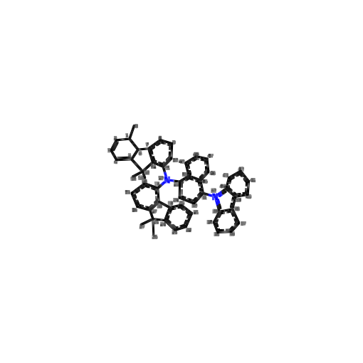 CC1C=CC=C2C1c1cccc(N(c3cccc4c3-c3ccccc3C4(C)C)c3ccc(-n4c5ccccc5c5ccccc54)c4ccccc34)c1C2(C)C